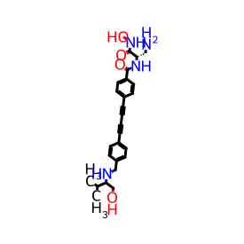 CC(C)C(CO)NCc1ccc(C#CC#Cc2ccc(C(=O)N[C@@H](CN)C(=O)NO)cc2)cc1